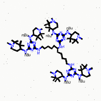 CCCCN(c1nc(NCCCCCC(CCCCCNc2nc(N(CCCC)C3CCN(C)C(C)(C)C3(C)C)nc(N(CCCC)C3CCN(C)C(C)(C)C3(C)C)n2)Nc2nc(N(CCCC)C3CCN(C)C(C)(C)C3(C)C)nc(N(CCCC)C3CCN(C)C(C)(C)C3(C)C)n2)nc(N(CCCC)C2CCN(C)C(C)(C)C2(C)C)n1)C1CCN(C)C(C)(C)C1(C)C